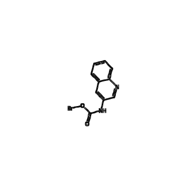 O=C(Nc1cnc2ccccc2c1)OBr